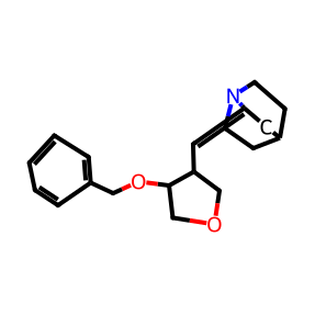 C(=C1/CC2CCN1CC2)/C1COCC1OCc1ccccc1